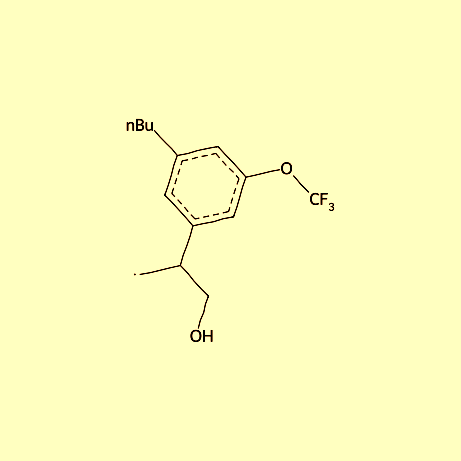 [CH2]C(CO)c1cc(CCCC)cc(OC(F)(F)F)c1